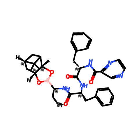 CC(C)C[C@H](NC(=O)[C@H](Cc1ccccc1)NC(=O)[C@H](Cc1ccccc1)NC(=O)c1cnccn1)B1O[C@@H]2C[C@@H]3CC(C3(C)C)[C@]2(C)O1